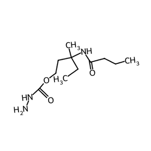 CCCC(=O)NC(C)(CC)CCOC(=O)NN